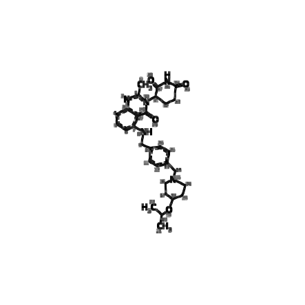 Cc1nc2cccc(NCc3ccc(CN4CCC(OC(C)C)CC4)cc3)c2c(=O)n1C1CCC(=O)NC1=O